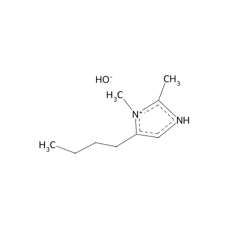 CCCCc1c[nH]c(C)[n+]1C.[OH-]